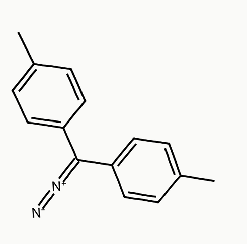 Cc1ccc(C(=[N+]=[N-])c2ccc(C)cc2)cc1